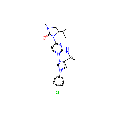 CC(C)C1CN(C)C(=O)N1c1ccnc(N[C@@H](C)c2cn(-c3ccc(Cl)cc3)cn2)n1